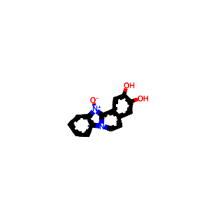 [O-][n+]1c2ccccc2n2ccc3cc(O)c(O)cc3c21